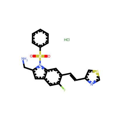 Cl.NCc1cc2cc(F)c(C=Cc3cscn3)cc2n1S(=O)(=O)c1ccccc1